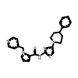 O=C(Nc1nc(N2CCC(c3ccccc3)CC2)cs1)c1cccn1Cc1ccncc1